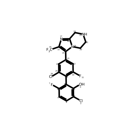 Oc1c(Cl)ccc(F)c1-c1c(F)cc(-c2c(C(F)(F)F)nc3n2CCNC3)cc1Cl